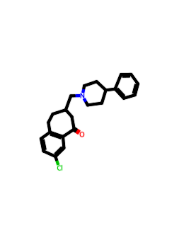 O=C1CC(CN2CCC(c3ccccc3)CC2)CCc2ccc(Cl)cc21